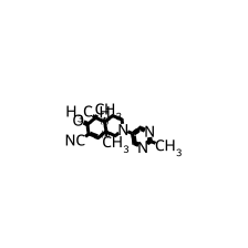 Cc1ncc(N2CC[C@@H]3C(C)(C)C(=O)C(C#N)=C[C@@]3(C)C2)cn1